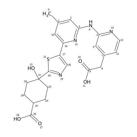 Cc1cc(Nc2cc(CC(=O)O)ccn2)nc(-c2cnc(C3(O)CCC(C(=O)O)CC3)s2)c1